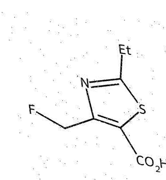 CCc1nc(CF)c(C(=O)O)s1